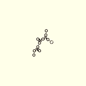 C1=CCC=C(c2ccc(N(c3ccc(-c4ccccc4)cc3)c3ccc(-n4c5ccccc5c5cc(-c6ccc7c(c6)c6ccccc6n7-c6cccc(-c7ccccc7)c6)ccc54)cc3)cc2)C=C1